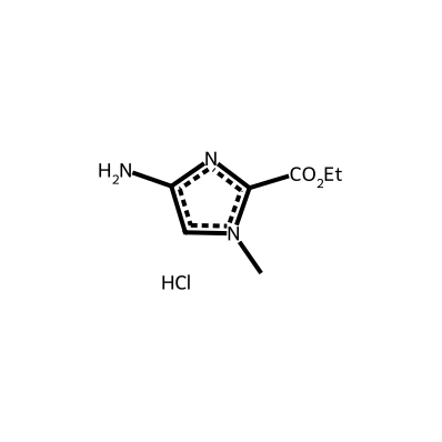 CCOC(=O)c1nc(N)cn1C.Cl